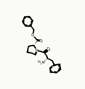 N[C@@H](Cc1ccccc1)C(=O)N1CCC[C@@H]1C(=O)OCc1ccccc1